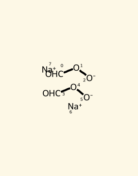 O=CO[O-].O=CO[O-].[Na+].[Na+]